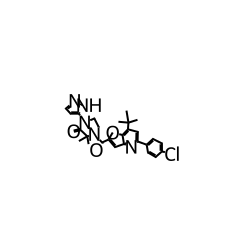 CC(C)(C)c1cc(-c2ccc(Cl)cc2)nc2cc(C(=O)N3CCN(c4ccn[nH]4)C(=O)C3(C)C)oc12